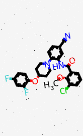 COc1c(Cl)cccc1C(=O)Nc1cc(C#N)ccc1N1CCC(Oc2ccc(F)cc2F)CC1